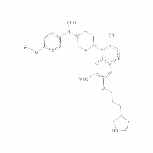 COc1cc2c(N3CCN(N(C=O)c4ccc(OC(C)C)cc4)CC3)c(C#N)cnc2cc1OCCCC1CCNC1